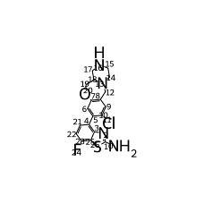 Nc1nc2c(-c3cc4c(cc3Cl)CN3CCNCC3CO4)ccc(F)c2s1